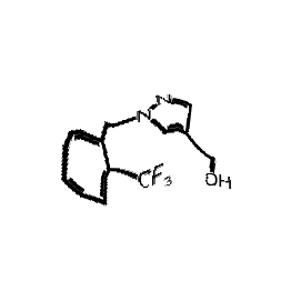 OCc1cnn(Cc2ccccc2C(F)(F)F)c1